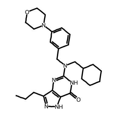 CCCc1n[nH]c2c(=O)[nH]c(N(Cc3cccc(N4CCOCC4)c3)CC3CCCCC3)nc12